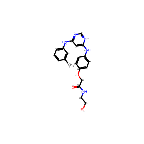 Cc1cccc(Nc2cc(Nc3ccc(OCC(=O)NCCO)cc3)ncn2)c1